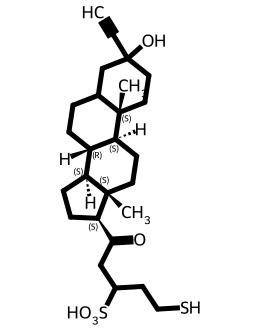 C#CC1(O)CC[C@@]2(C)C(CC[C@H]3[C@@H]4CC[C@H](C(=O)CC(CCS)S(=O)(=O)O)[C@@]4(C)CC[C@@H]32)C1